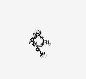 CC1(C)COCC(c2cccc(CCC(=O)O)c2)n2ccc(n2)-c2cc(ccc2F)Oc2c(F)cc3[nH]ccc3c2CCSC1